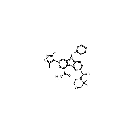 Cc1noc(C)c1-c1cc(C(N)=O)c2c3cc(C(=O)N4CCOCC4(C)C)ccc3n(Cc3ccccc3)c2c1